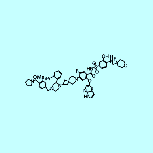 COc1cc(CN2CCN(C3CC4(CCN(c5cc(Oc6cnc7[nH]ccc7c6)c(C(=O)NS(=O)(=O)c6ccc(NCC7(F)CCOCC7)c(O)c6)cc5F)CC4)C3)[C@H](c3ccccc3C(C)C)C2)ccc1CN1CCCC1